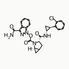 NC(=O)c1nn(OC(=O)N2[C@@H]3CC3C[C@H]2C(=O)N[C@@H]2C[C@H]2c2ccccc2Cl)c2ccccc12